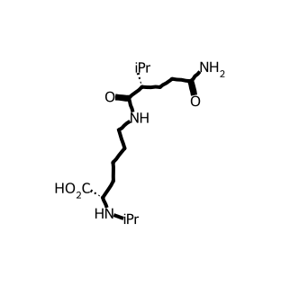 CC(C)N[C@@H](CCCCNC(=O)[C@@H](CCC(N)=O)C(C)C)C(=O)O